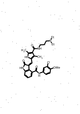 CCN(CC)CCCNC(=O)c1c(C)[nH]c(C=C2C(=O)Nc3cccc(C(=O)Nc4ccc(OC)c(Cl)c4)c32)c1C